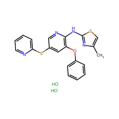 Cc1csc(Nc2ncc(Sc3ccccn3)cc2Oc2ccccc2)n1.Cl.Cl